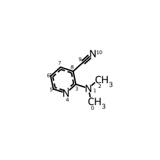 CN(C)c1nc[c]cc1C#N